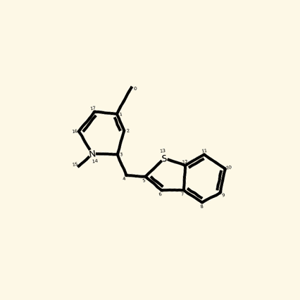 CC1=CC(Cc2cc3ccccc3s2)N(C)C=C1